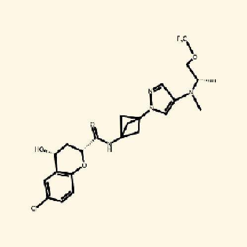 C[C@@H](COC(F)(F)F)N(C)c1cnn(C23CC(NC(=O)[C@H]4C[C@@H](O)c5cc(Cl)ccc5O4)(C2)C3)c1